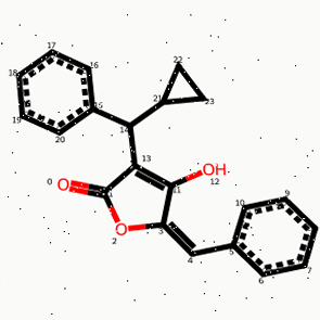 O=C1OC(=Cc2ccccc2)C(O)=C1C(c1ccccc1)C1CC1